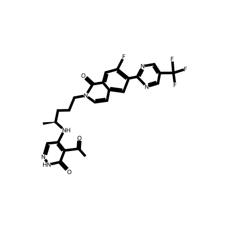 CC(=O)c1c(N[C@@H](C)CCCn2ccc3cc(-c4ncc(C(F)(F)F)cn4)c(F)cc3c2=O)cn[nH]c1=O